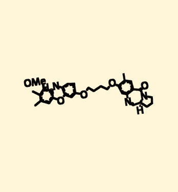 COc1cc(Oc2cc(OCCCCOc3cc4c(cc3C)C(=O)N3CCC[C@H]3C=N4)ccc2N)cc(C)c1C